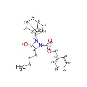 CCCCC1C(=O)N(C2C3CC4CC(C3)CC2C4)N1C(=O)OCc1ccccc1